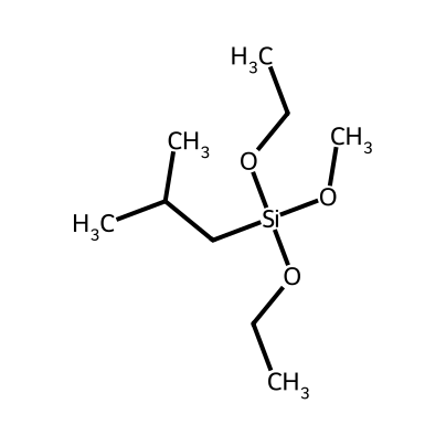 CCO[Si](CC(C)C)(OC)OCC